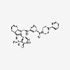 O=C(c1cccc(NCc2c3ccccc3cn2-c2cn[nH]c(=O)c2C(F)(F)F)c1)N1CCN(c2ccccn2)CC1